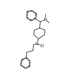 CN(C)C(c1ccccc1)C1CCC(N(Cl)CCCc2ccccc2)CC1